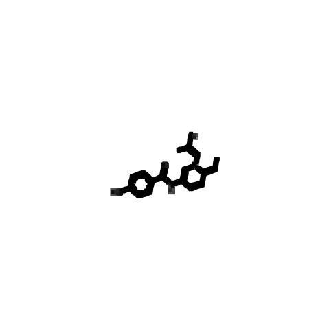 C/C=C1/C=CC(NC(=O)c2ccc(O)cc2)=CN1/C=C(\C)C(C)=O